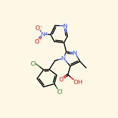 Cc1nc(-c2cncc([N+](=O)[O-])c2)n(Cc2cc(Cl)ccc2Cl)c1C(=O)O